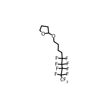 FC(F)(F)C(F)(F)C(F)(F)C(F)(F)C(F)(F)CCCCOC1CCCO1